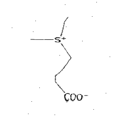 C[S+](C)CCC(=O)[O-]